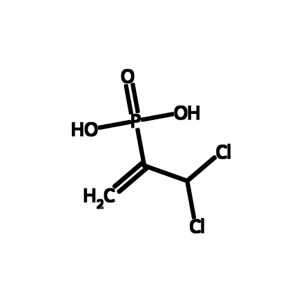 C=C(C(Cl)Cl)P(=O)(O)O